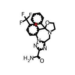 NC(=O)c1nc2n(n1)-c1ccc(C(F)(F)F)cc1C1(c3ccccc3)OCCN1C2